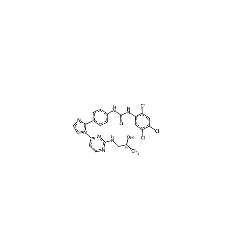 C[C@H](O)CNc1nccc(-n2ccnc2-c2ccc(NC(=O)Nc3cc(Cl)c(Cl)cc3Cl)cc2)n1